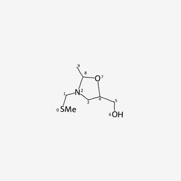 CSCN1CC(CO)OC1C